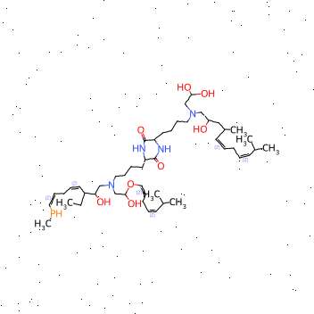 CCC(/C=C\C/C=C\PC)C(O)CN(CCCCC1NC(=O)C(CCCCN(CC(O)O)CC(O)CC(C)/C=C\C/C=C\C(C)C)NC1=O)CC(O)O/C=C\C/C=C\C(C)C